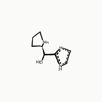 OC(c1ncc[nH]1)[C@H]1CCCN1